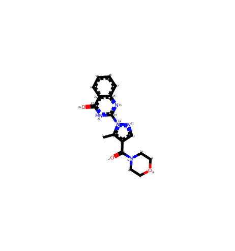 Cc1c(C(=O)N2CCOCC2)cnn1-c1nc2ccccc2c(=O)[nH]1